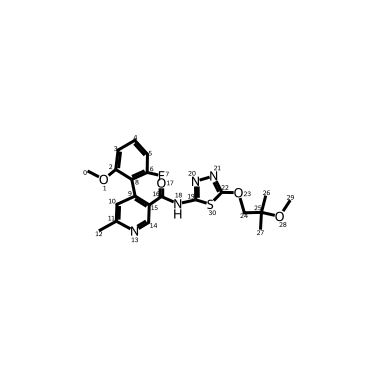 COc1cccc(F)c1-c1cc(C)ncc1C(=O)Nc1nnc(OCC(C)(C)OC)s1